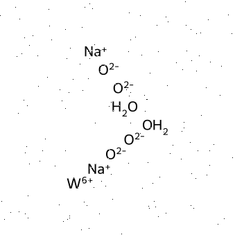 O.O.[Na+].[Na+].[O-2].[O-2].[O-2].[O-2].[W+6]